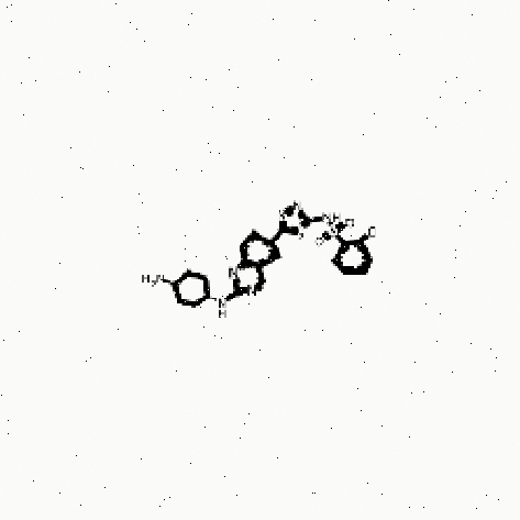 N[C@H]1CC[C@H](Nc2ncc3cc(-c4nnc(NS(=O)(=O)c5ccccc5Cl)s4)ccc3n2)CC1